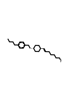 CCCCc1ccc(CC[C@H]2CC[C@H](C=CCCCCCF)CC2)cc1